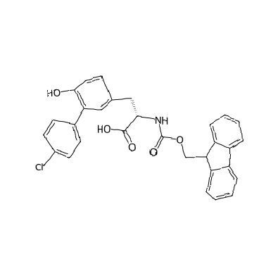 O=C(N[C@@H](Cc1ccc(O)c(-c2ccc(Cl)cc2)c1)C(=O)O)OCC1c2ccccc2-c2ccccc21